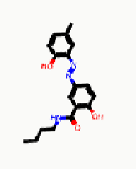 CCCCNC(=O)c1cc(/N=N/c2cc(C)ccc2O)ccc1O